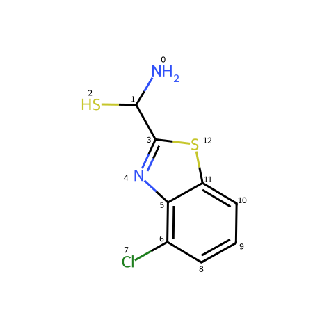 NC(S)c1nc2c(Cl)cccc2s1